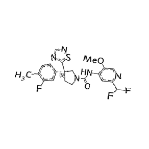 COc1cnc(C(F)F)cc1NC(=O)N1CC[C@@](c2ccc(C)c(F)c2)(c2ncns2)C1